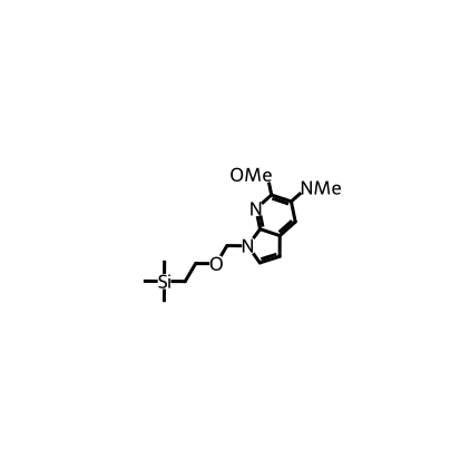 CNc1cc2ccn(COCC[Si](C)(C)C)c2nc1OC